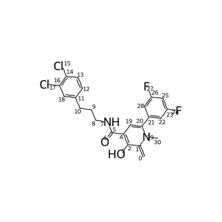 C=C1C(O)=C(C(=O)NCCCc2ccc(Cl)c(Cl)c2)C=C(c2cc(F)cc(F)c2)N1C